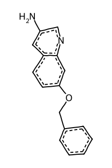 Nc1cnc2cc(OCc3ccccc3)ccc2c1